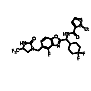 CCn1nccc1C(=O)NC(c1nc2c(F)c(CN3CC(C(F)(F)F)NC3=O)ccc2o1)C1CCC(F)(F)CC1